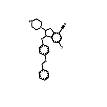 N#Cc1cc(Cl)cc2c1CC(N1CCNCC1)C2Oc1ccc(SCc2ccccc2)cc1